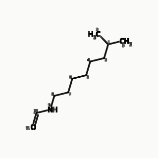 CC(C)CCCCCCN[C]=O